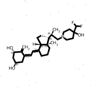 C=C1/C(=C\C=C2/CCC[C@]3(C)[C@@H]([C@@H](C)CN4CCC(O)(C(F)F)CC4)CC[C@@H]23)C[C@@H](O)C[C@@H]1O